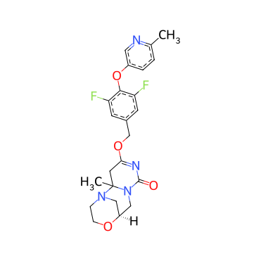 Cc1ccc(Oc2c(F)cc(COC3=NC(=O)N4C[C@@H]5CN(CCO5)C4(C)C3)cc2F)cn1